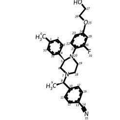 Cc1ccc([C@@H]2CN([C@H](C)c3ccc(C#N)cc3)CCN2c2ccc(OCCO)cc2F)cc1